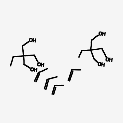 C=CC.C=CC.C=CC.C=CC.CCC(CO)(CO)CO.CCC(CO)(CO)CO